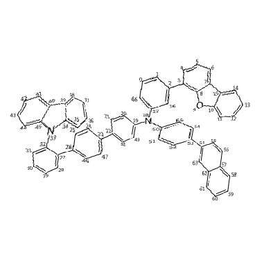 c1cc(-c2cccc3c2oc2ccccc23)cc(N(c2ccc(-c3ccc(-c4ccccc4-n4c5ccccc5c5ccccc54)cc3)cc2)c2ccc(-c3ccc4ccccc4c3)cc2)c1